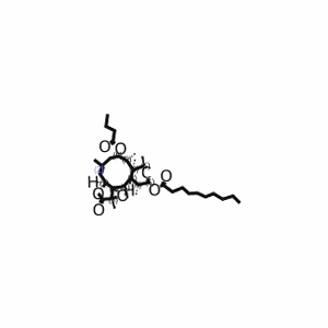 CCCCCCCCCC(=O)O[C@H]1C[C@H](C)[C@@]2(C)[C@H]([C@H]1C)[C@H](C)[C@]13O[C@]1(C)C(=O)O[C@H]3/C=C(/C)C[C@H](OC(=O)CCC)[C@@H]2C